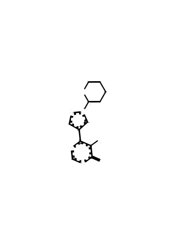 O=c1[nH]cnc(-c2cnn(C3CCCCO3)c2)c1Cl